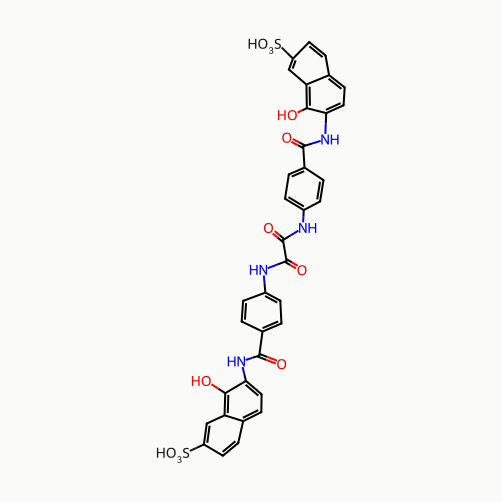 O=C(Nc1ccc(C(=O)Nc2ccc3ccc(S(=O)(=O)O)cc3c2O)cc1)C(=O)Nc1ccc(C(=O)Nc2ccc3ccc(S(=O)(=O)O)cc3c2O)cc1